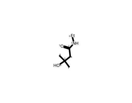 [CH2]CNC(=O)CC(C)(C)O